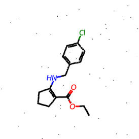 CCOC(=O)C1=C(NCc2ccc(Cl)cc2)CCC1